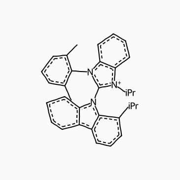 Cc1cccc(C)c1-n1c(-n2c3ccccc3c3cccc(C(C)C)c32)[n+](C(C)C)c2ccccc21